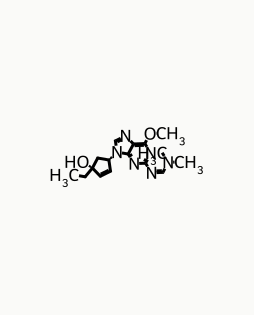 CC[C@@]1(O)C=C[C@H](n2cnc3c(OC)nc(/N=C\N(C)C)nc32)C1